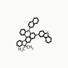 CC1(C)c2ccccc2-c2c(-c3ccccc3N(c3cccc(-c4ccc5sc6ccccc6c5c4)c3)c3ccc4ccccc4c3)cccc21